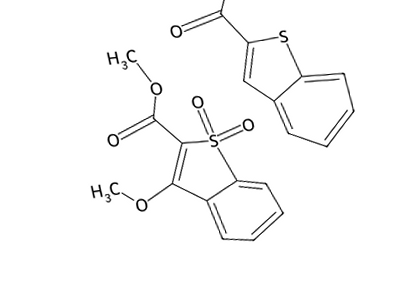 COC(=O)C1=C(OC)c2ccccc2S1(=O)=O.O=C(O)c1cc2ccccc2s1